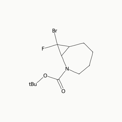 CC(C)(C)OC(=O)N1CCCCC2C1C2(F)Br